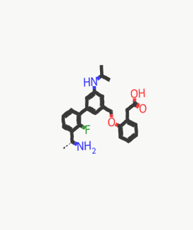 CC(C)Nc1cc(COc2ccccc2CC(=O)O)cc(-c2cccc([C@@H](C)N)c2F)c1